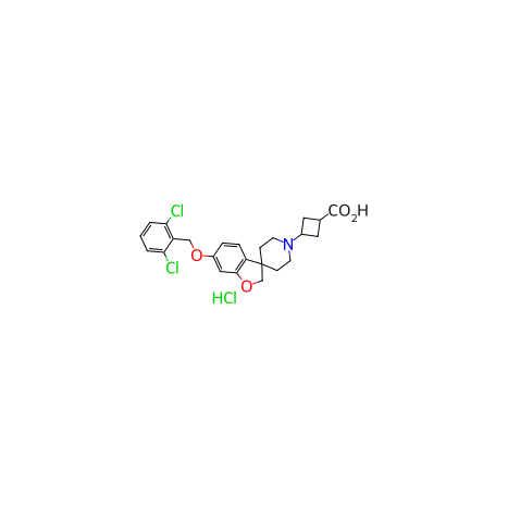 Cl.O=C(O)C1CC(N2CCC3(CC2)COc2cc(OCc4c(Cl)cccc4Cl)ccc23)C1